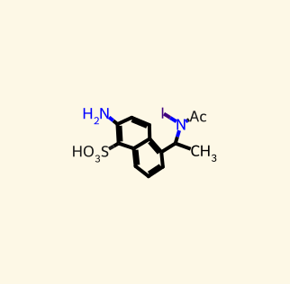 CC(=O)N(I)C(C)c1cccc2c(S(=O)(=O)O)c(N)ccc12